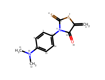 C=C1SC(=S)N(c2ccc(N(C)C)cc2)C1=O